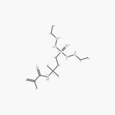 C=C(C)C(=O)NC(C)(C)CCP(=O)(OOCC)OOCC